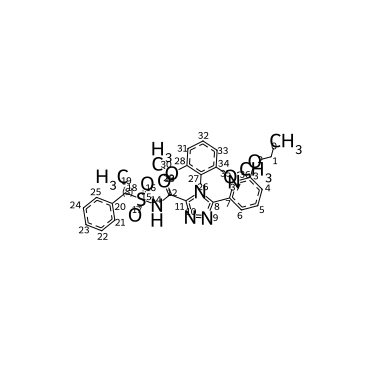 CCOc1cccc(-c2nnc(C(=O)NS(=O)(=O)[C@@H](C)c3ccccc3)n2-c2c(OC)cccc2OC)n1